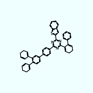 C1=CC(c2ccc(-c3ccc(-c4nc(C5=CCCC=C5c5ccccc5)nc(-c5cc6ccccc6s5)n4)cc3)cc2C2=CCCC=C2)=CCC1